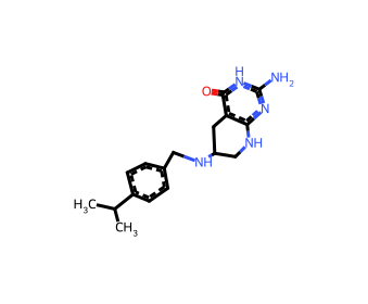 CC(C)c1ccc(CNC2CNc3nc(N)[nH]c(=O)c3C2)cc1